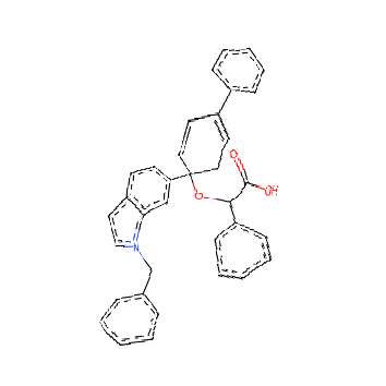 O=C(O)C(OC1(c2ccc3ccn(Cc4ccccc4)c3c2)C=CC(c2ccccc2)=CC1)c1ccccc1